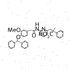 COc1cc(CC(=O)Nc2cccc(CC(C)(C(=O)O)c3ccccc3)n2)ccc1OC(c1ccccc1)c1ccccc1